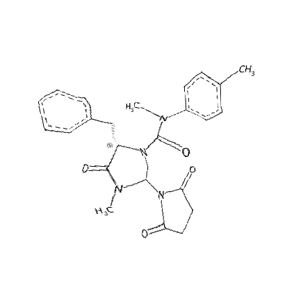 Cc1ccc(N(C)C(=O)N2C(N3C(=O)CCC3=O)N(C)C(=O)[C@@H]2Cc2ccccc2)cc1